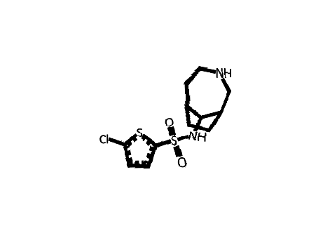 O=S(=O)(NC1C2CCNCC1CC2)c1ccc(Cl)s1